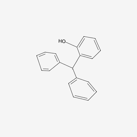 Oc1ccccc1[C](c1ccccc1)c1ccccc1